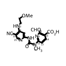 COCCNc1cc(NC(=O)N(C)c2ccc(C(=O)O)c(C=O)n2)ncc1C#N